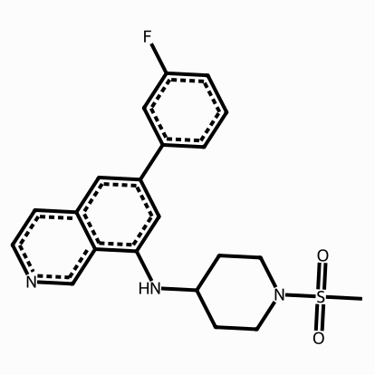 CS(=O)(=O)N1CCC(Nc2cc(-c3cccc(F)c3)cc3ccncc23)CC1